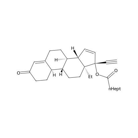 C#C[C@]1(OC(=O)CCCCCCC)C=C[C@H]2[C@@H]3CCC4=CC(=O)CC[C@@H]4[C@H]3CC[C@@]21CC